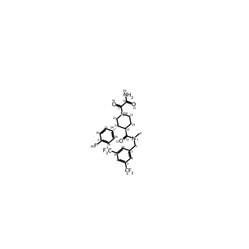 CN(Cc1cc(C(F)(F)F)cc(C(F)(F)F)c1)C(=O)[C@@H]1CCN(C(=O)C(N)=O)C[C@H]1c1ccc(F)cc1